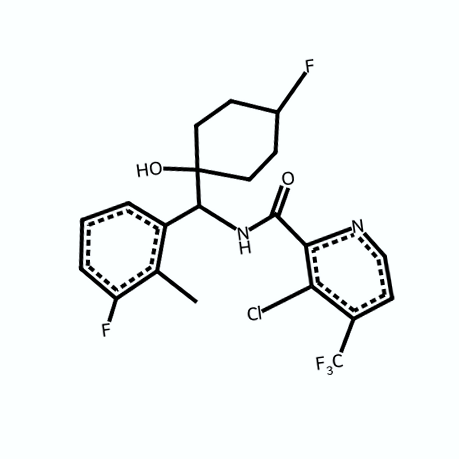 Cc1c(F)cccc1C(NC(=O)c1nccc(C(F)(F)F)c1Cl)C1(O)CCC(F)CC1